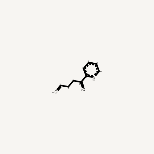 O=CCCC(=O)c1ccccn1